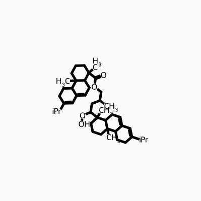 CC(COC(=O)C1(C)CCCC2(C)C3CCC(C(C)C)=CC3=CCC12)CC(OO)C1(C)CCCC2(C)C3CCC(C(C)C)=CC3=CCC12